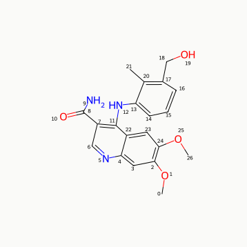 COc1cc2ncc(C(N)=O)c(Nc3cccc(CO)c3C)c2cc1OC